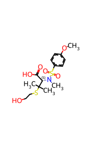 COc1ccc(S(=O)(=O)N(C)[C@@H](C(=O)O)C(C)(C)SCCO)cc1